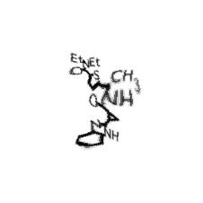 CCN(CC)C(=O)c1ccc(C(C)NC(=O)C2CC2c2nc3ccccc3[nH]2)s1